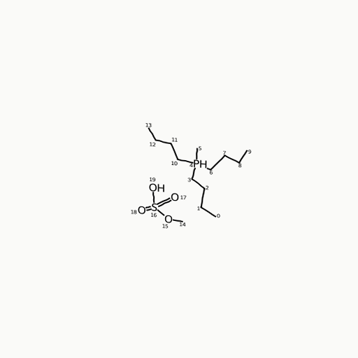 CCCC[PH](C)(CCCC)CCCC.COS(=O)(=O)O